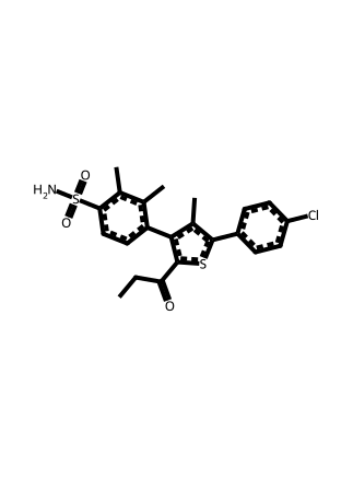 CCC(=O)c1sc(-c2ccc(Cl)cc2)c(C)c1-c1ccc(S(N)(=O)=O)c(C)c1C